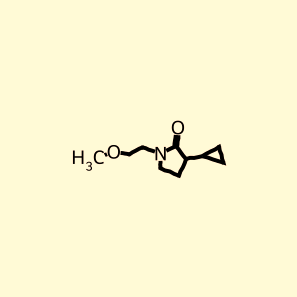 COCCN1CCC(C2CC2)C1=O